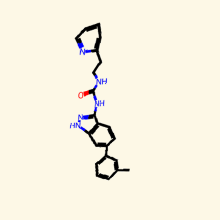 Cc1cccc(-c2ccc3c(NC(=O)NCCc4ccccn4)n[nH]c3c2)c1